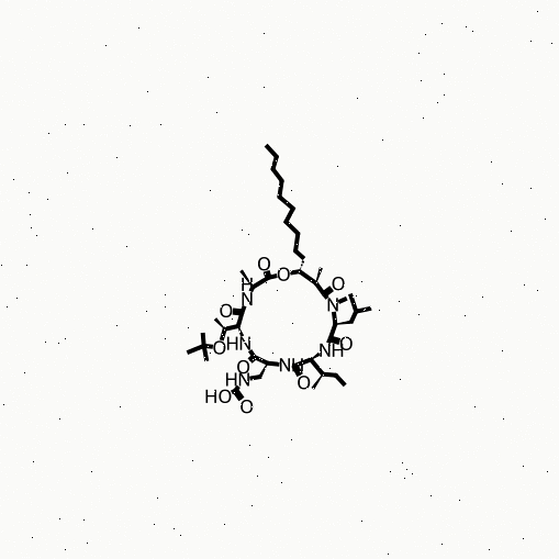 CCCCCCCCCC[C@H]1OC(=O)[C@H](C)NC(=O)[C@H]([C@H](C)OC(C)(C)C)NC(=O)[C@H](CNC(=O)O)NC(=O)[C@H]([C@H](C)CC)NC(=O)[C@H](CC(C)C)N(C)C(=O)[C@@H]1C